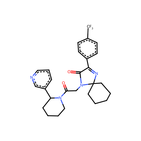 O=C(CN1C(=O)C(c2ccc(C(F)(F)F)cc2)=NC12CCCCC2)N1CCCCC1c1cccnc1